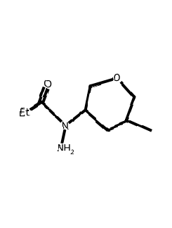 CCC(=O)N(N)C1COCC(C)C1